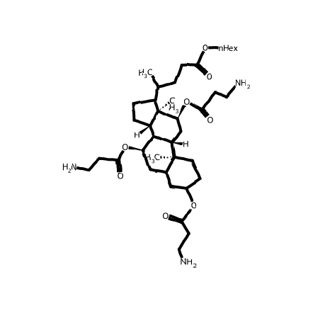 CCCCCCOC(=O)CCC(C)C1CC[C@H]2C3[C@H](OC(=O)CCN)CC4CC(OC(=O)CCN)CC[C@]4(C)[C@H]3C[C@H](OC(=O)CCN)[C@]12C